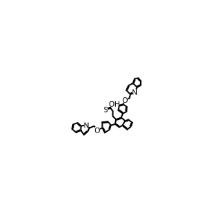 OC(=S)CCc1c(-c2ccc(OCc3ccc4ccccc4n3)cc2)cc2ccccc2c1-c1ccc(OCc2ccc3ccccc3n2)cc1